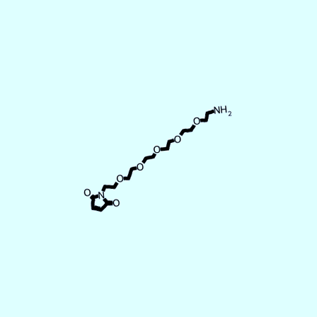 NCCOCCOCCOCCOCCOCCN1C(=O)C=CC1=O